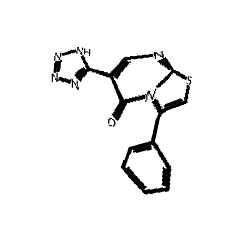 O=c1c(-c2nnn[nH]2)cnc2scc(-c3ccccc3)n12